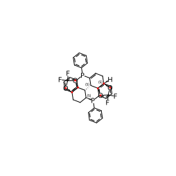 FC1(F)OC2=C(O1)C([C@@H]1C(P(c3ccccc3)c3ccccc3)=CC[C@@H]3OC(F)(F)OC13)[C@@H](P(c1ccccc1)c1ccccc1)CC2